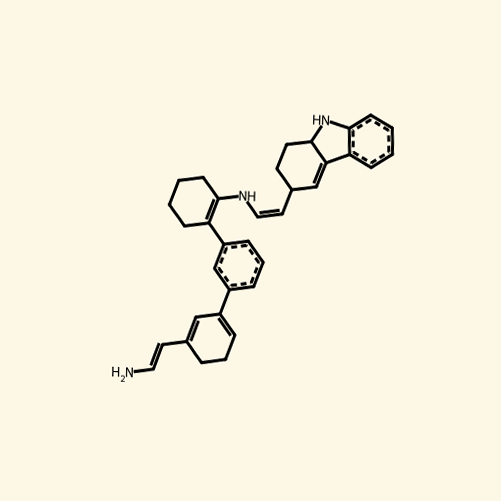 N/C=C/C1=CC(c2cccc(C3=C(N/C=C\C4C=C5c6ccccc6NC5CC4)CCCC3)c2)=CCC1